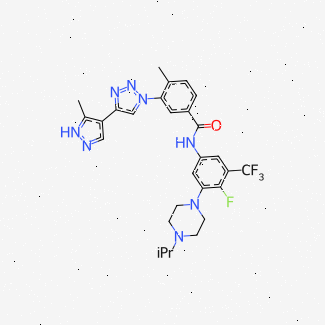 Cc1ccc(C(=O)Nc2cc(N3CCN(C(C)C)CC3)c(F)c(C(F)(F)F)c2)cc1-n1cc(-c2cn[nH]c2C)nn1